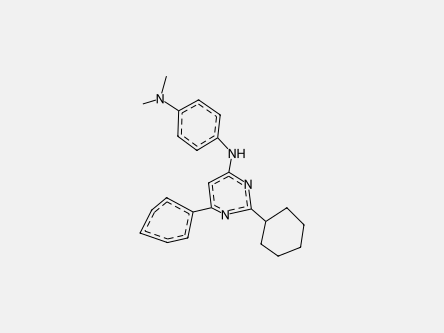 CN(C)c1ccc(Nc2cc(-c3ccccc3)nc(C3CCCCC3)n2)cc1